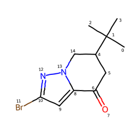 CC(C)(C)C1CC(=O)c2cc(Br)nn2C1